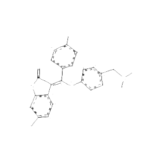 CN(C)Cc1ccc(NC(=C2C(=O)Nc3cc(Cl)ccc32)c2ccc(Cl)cc2)cc1